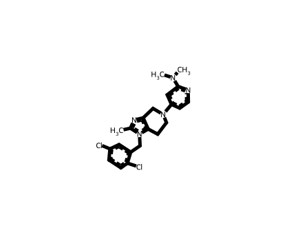 Cc1nc2c(n1Cc1cc(Cl)ccc1Cl)CCN(c1ccnc(N(C)C)c1)C2